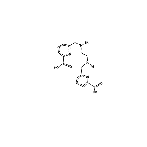 [2H]N(CCN([2H])Cc1cccc(C(=O)O)n1)Cc1cccc(C(=O)O)n1